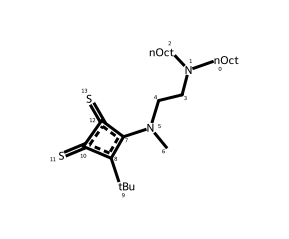 CCCCCCCCN(CCCCCCCC)CCN(C)c1c(C(C)(C)C)c(=S)c1=S